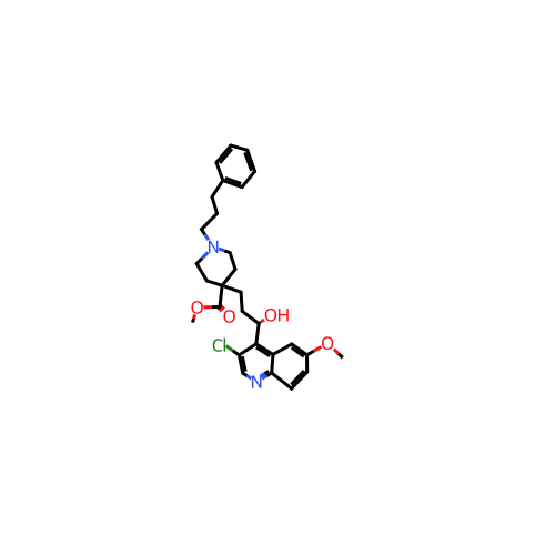 COC(=O)C1(CC[C@@H](O)c2c(Cl)cnc3ccc(OC)cc23)CCN(CCCc2ccccc2)CC1